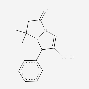 CCOC(=O)C1=CN2C(=O)CC(C)(C)N2C1c1ccccc1